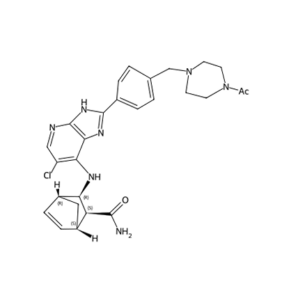 CC(=O)N1CCN(Cc2ccc(-c3nc4c(N[C@H]5[C@@H](C(N)=O)[C@@H]6C=C[C@H]5C6)c(Cl)cnc4[nH]3)cc2)CC1